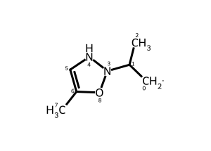 [CH2]C(C)N1NC=C(C)O1